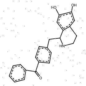 O=C(c1ccccc1)c1ccc(CC2NCCc3cc(O)c(O)cc32)cc1